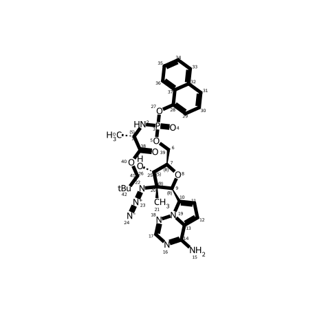 C[C@H](NP(=O)(OC[C@H]1O[C@@H](c2ccc3c(N)ncnn23)[C@](C)(N=[N+]=[N-])[C@@H]1O)Oc1cccc2ccccc12)C(=O)OCC(C)(C)C